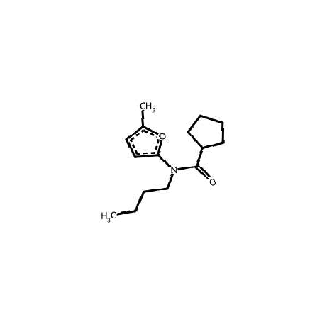 CCCCN(C(=O)C1CCCC1)c1ccc(C)o1